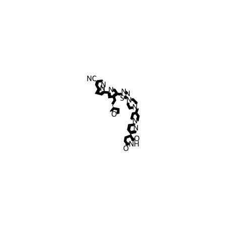 N#Cc1cnn2c(-c3cc(CC[C@@H]4CCOC4)c(-c4nnc(N5CCN(CC6CCN(c7ccc([C@@H]8CCC(=O)NC8=O)cn7)CC6)CC5)s4)cn3)ccc2c1